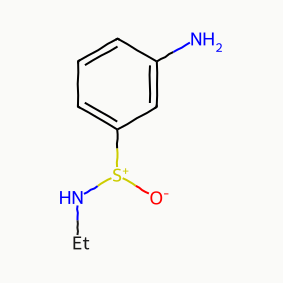 CCN[S+]([O-])c1cccc(N)c1